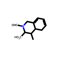 CC1C2CC=CC=C2CN(C=O)C1C(=O)O